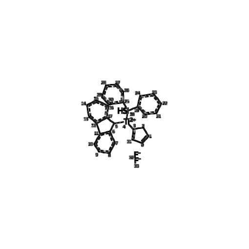 C1=CC[C]([Ti+2]([CH]2c3ccccc3-c3ccccc32)[SiH](c2ccccc2)c2ccccc2)=C1.[F-].[F-]